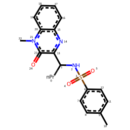 CCCC(NS(=O)(=O)c1ccc(C)cc1)c1nc2ccccc2n(C)c1=O